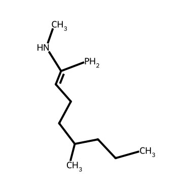 CCCC(C)CC/C=C(\P)NC